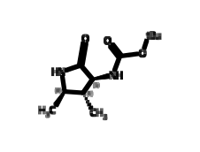 C[C@H]1[C@H](NC(=O)OC(C)(C)C)C(=O)N[C@@H]1C